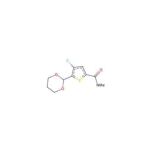 CNC(=O)c1cc(F)c(C2OCCCO2)s1